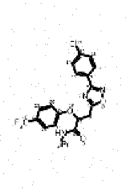 CC(C)NC(=O)C(Cc1nc(-c2ccc(Cl)cc2)no1)Oc1ccc(C(F)(F)F)cc1